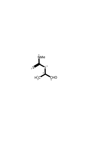 CNC(=S)SC(C)C=O